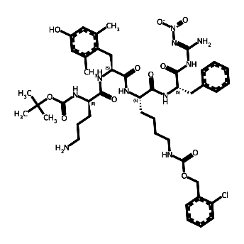 Cc1cc(O)cc(C)c1C[C@H](NC(=O)[C@@H](CCCN)NC(=O)OC(C)(C)C)C(=O)N[C@@H](CCCCNC(=O)OCc1ccccc1Cl)C(=O)N[C@@H](Cc1ccccc1)C(=O)NC(N)=N[N+](=O)[O-]